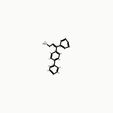 OC/C=C(/c1ccccc1)c1ccc(-c2ccccc2)cc1